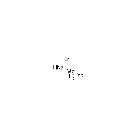 [Er].[MgH2].[NaH].[Yb]